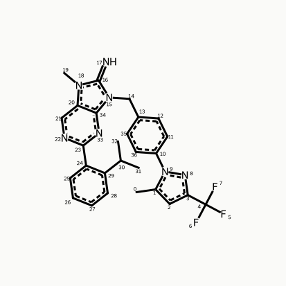 Cc1cc(C(F)(F)F)nn1-c1ccc(Cn2c(=N)n(C)c3cnc(-c4ccccc4C(C)C)nc32)cc1